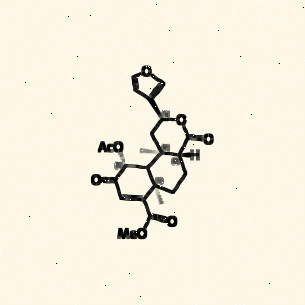 COC(=O)C1=CC(=O)[C@H](OC(C)=O)C2[C@@]1(C)CC[C@H]1C(=O)O[C@H](c3ccoc3)C[C@]21C